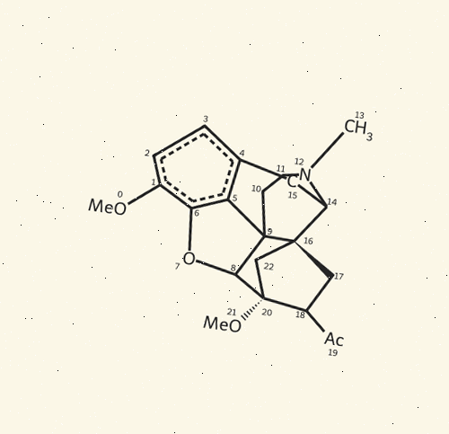 COc1ccc2c3c1OC1C34CCN(C)C(C2)[C@@]42CC(C(C)=O)[C@]1(OC)C2